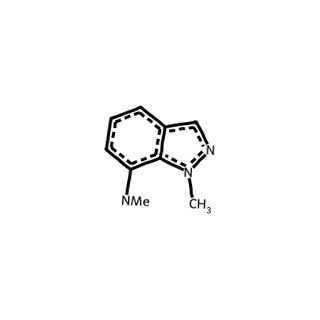 CNc1cccc2cnn(C)c12